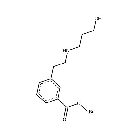 CC(C)(C)OC(=O)c1cccc(CCNCCCO)c1